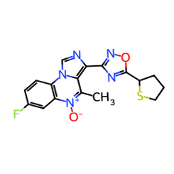 Cc1c2c(-c3noc(C4CCCS4)n3)ncn2c2ccc(F)cc2[n+]1[O-]